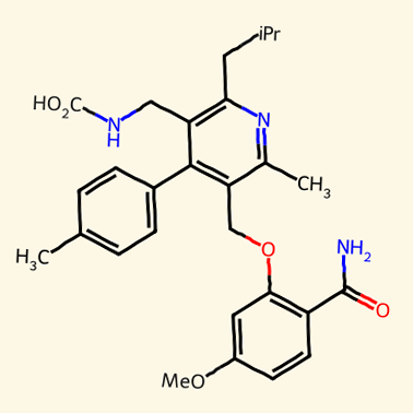 COc1ccc(C(N)=O)c(OCc2c(C)nc(CC(C)C)c(CNC(=O)O)c2-c2ccc(C)cc2)c1